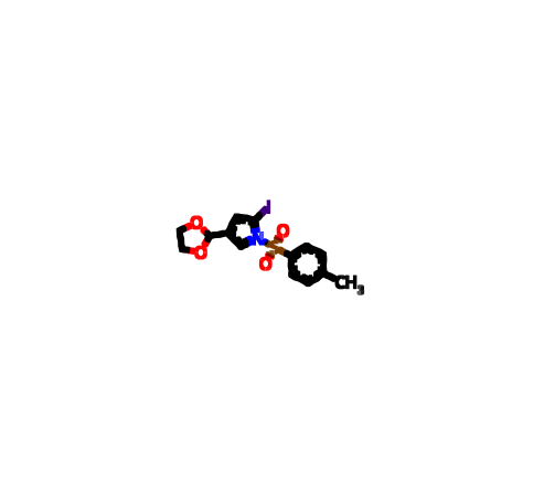 Cc1ccc(S(=O)(=O)n2cc(C3OCCO3)cc2I)cc1